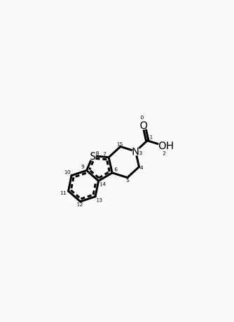 O=C(O)N1CCc2c(sc3ccccc23)C1